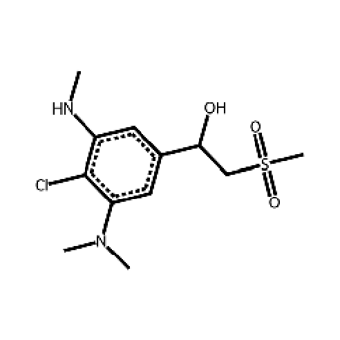 CNc1cc(C(O)CS(C)(=O)=O)cc(N(C)C)c1Cl